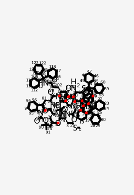 CSCC[C@H](NC(=O)[C@H](CC(=O)NC(c1ccccc1)(c1ccccc1)c1ccccc1)NC(=O)[C@@H](NC(=O)[C@@H](N)CSC(c1ccccc1)(c1ccccc1)c1ccccc1)[C@@H](C)OC(C)(C)C)C(=O)N[C@@H](CC(C)C)C(=O)N[C@@H](Cc1cn(C(=O)OC(C)(C)C)c2ccccc12)C(=O)N[C@@H](CCC(=O)NC(c1ccccc1)(c1ccccc1)c1ccccc1)C(=O)C(=O)OCC1c2ccccc2-c2ccccc21